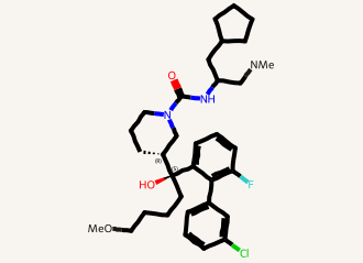 CNCC(CC1CCCC1)NC(=O)N1CCC[C@@H]([C@@](O)(CCCCOC)c2cccc(F)c2-c2cccc(Cl)c2)C1